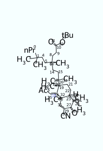 CCCC(C)(C)CC[C@](C)(CCC(=O)OC(C)(C)C)CCC(C)(C)[C@]1(C)CC[C@H]2C(C)(C)C(=O)C(C#N)=C[C@]2(C)/C1=C/C(C)=O